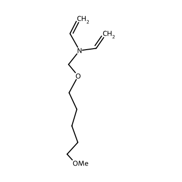 C=CN(C=C)COCCCCCOC